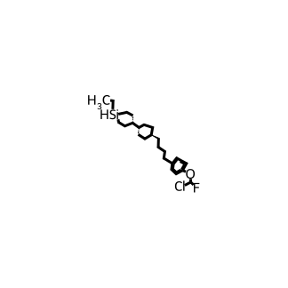 CCC[Si@H]1CC[C@H]([C@H]2CC[C@H](CCCCc3ccc(OC(F)Cl)cc3)CC2)CC1